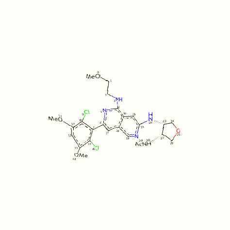 COCCNc1nc(-c2c(Cl)c(OC)cc(OC)c2Cl)cc2cnc(N[C@@H]3COC[C@@H]3NC(C)=O)cc12